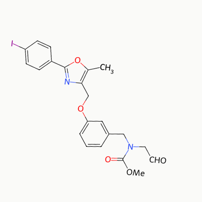 COC(=O)N(CC=O)Cc1cccc(OCc2nc(-c3ccc(I)cc3)oc2C)c1